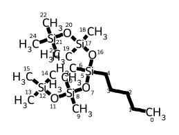 CCCCC[Si](C)(O[Si](C)(C)O[Si](C)(C)C)O[Si](C)(C)O[Si](C)(C)C